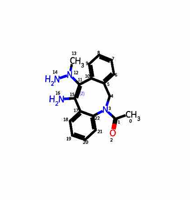 CC(=O)N1Cc2ccccc2/C(N(C)N)=C(/N)c2ccccc21